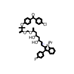 C=C(C[C@@H](O)C[C@@H](O)/C=C/c1c(-c2ccc(F)cc2)c2ccccc2n1C(C)C)OCOC(=C)C(C)(C)Oc1ccc(C(=O)c2ccc(Cl)cc2)cc1